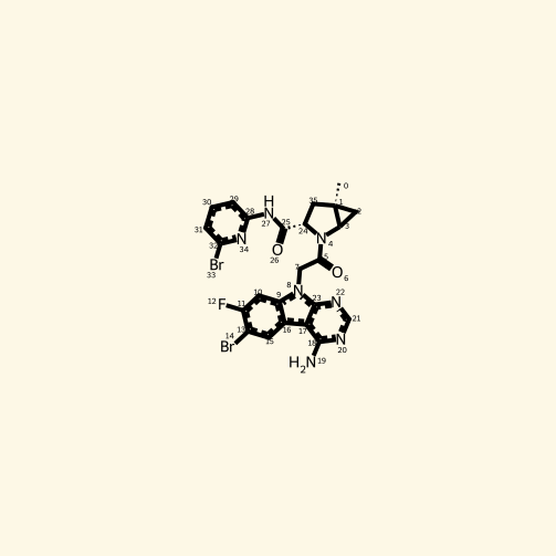 C[C@]12CC1N(C(=O)Cn1c3cc(F)c(Br)cc3c3c(N)ncnc31)[C@H](C(=O)Nc1cccc(Br)n1)C2